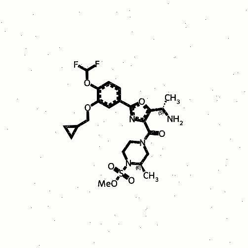 COS(=O)(=O)N1CCN(C(=O)c2nc(-c3ccc(OC(F)F)c(OCC4CC4)c3)oc2[C@H](C)N)C[C@H]1C